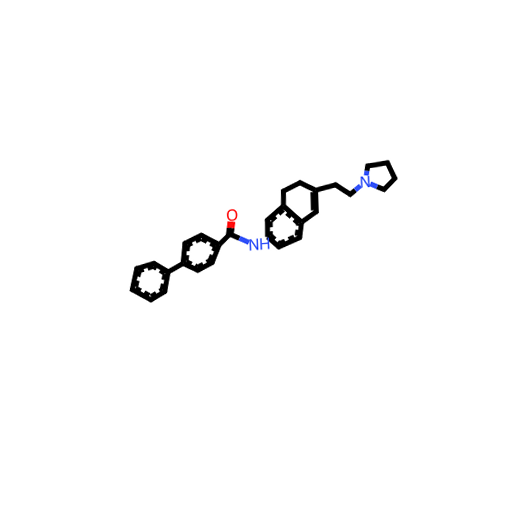 O=C(Nc1ccc2c(c1)CCC(CCN1CCCC1)=C2)c1ccc(-c2ccccc2)cc1